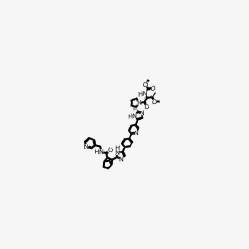 COC(=O)N[C@H](C(=O)N1CCC[C@H]1c1ncc(-c2ccc(-c3ccc(-c4cnc(C5C6CCC(C6)C5C(=O)NCc5cccnc5)[nH]4)cc3)nc2)[nH]1)[C@@H](C)OC